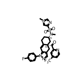 CN([C@H]1CCC2=Cc3c(cnn3-c3ccc(F)cc3)C[C@]2(C(=O)c2cc(C(F)(F)F)ccn2)C1)S(=O)(=O)c1cn(C)cn1